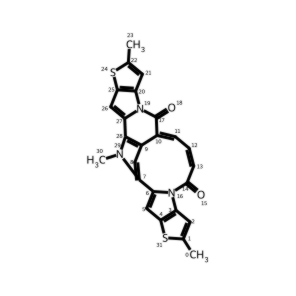 Cc1cc2c(cc3c4cc5c(cccc(=O)n23)c(=O)n2c3cc(C)sc3cc2c5n4C)s1